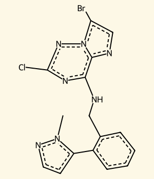 Cn1nccc1-c1ccccc1CNc1nc(Cl)nn2c(Br)cnc12